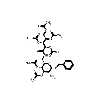 CC(=O)OC[C@@H](OC(C)=O)[C@@H](OC(C)=O)[C@@H](OC(C)=O)C(=O)NC[C@H]1O[C@H](OCc2ccccc2)[C@H](N)[C@@H](OC(C)=O)[C@@H]1OC(C)=O